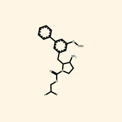 CSOc1cc(CC2C(N)CCN2C(=O)OCC(F)F)cc(-c2ccccc2)c1